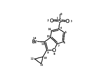 CS(=O)(=O)c1ccc2oc(C3CC3)c(Br)c2c1